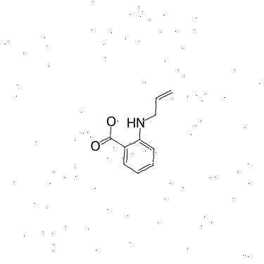 C=CCNc1ccccc1C([O])=O